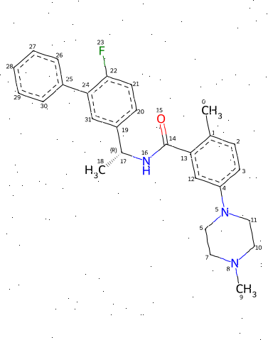 Cc1ccc(N2CCN(C)CC2)cc1C(=O)N[C@H](C)c1ccc(F)c(-c2ccccc2)c1